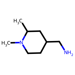 CC1CC(CN)CCN1C